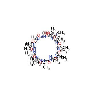 C/C=C/C[C@@H](C)[C@@H](O)[C@H]1C(=O)N[C@@H](CC)C(=O)N(C)CC(=O)N(C)[C@@H](C(C)C)C(=O)N[C@@H](C(C)C)C(=O)N(C)[C@@H](CC(C)C)C(=O)N[C@@H](CC(C)C)C(=O)N[C@H](C)C(=O)N(C)[C@@H](CC(C)C)C(=O)N(C)[C@@H](CC(C)C)C(=O)N(C)[C@@H](C(C)C)C(=O)N1C